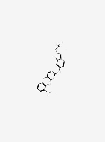 CP(C)c1ccccc1Nc1nc(Nc2ccc3cn(CC(C)(C)O)nc3c2)ncc1Cl